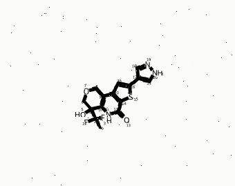 CC(F)(F)C1(O)COCc2c1[nH]c(=O)c1sc(-c3cn[nH]c3)cc21